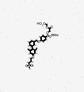 CNOB(OCC(=O)OCC(=O)O)c1ccc(OCc2cccc(-c3c(C)cc(OCCCS(C)(=O)=O)cc3C)c2)cc1